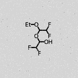 CCOC(OC(O)C(F)F)C(F)F